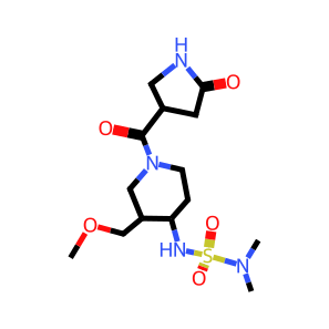 COCC1CN(C(=O)C2CNC(=O)C2)CCC1NS(=O)(=O)N(C)C